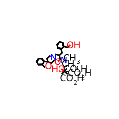 CN(C)C(=O)C(Cc1ccccc1CO)CN1CCC2(CC1)OCc1ccccc12.O=C(O)CC(O)(CC(=O)O)C(=O)O